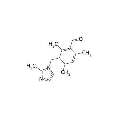 CC1=CC(C)C(Cn2ccnc2C)C(C)=C1C=O